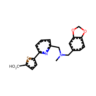 CN(Cc1ccc2c(c1)OCO2)Cc1cccc(-c2ccc(C(=O)O)s2)n1